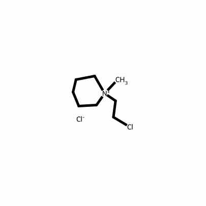 C[N+]1(CCCl)CCCCC1.[Cl-]